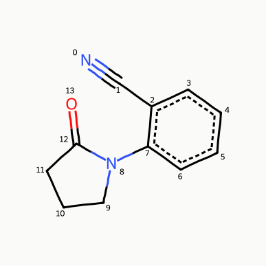 N#Cc1ccccc1N1CCCC1=O